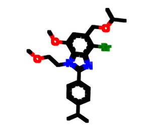 COCCn1c(-c2ccc(C(C)C)cc2)nc2c(Br)c(COC(C)C)cc(OC)c21